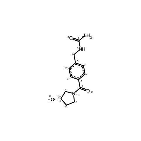 BC(=O)NCc1ccc(C(=O)N2CC[C@H](O)C2)cc1